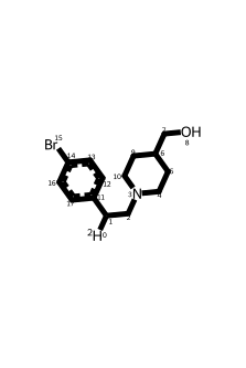 [2H]C(CN1CCC(CO)CC1)c1ccc(Br)cc1